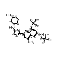 Nc1cc(-c2nnc(N[C@H]3CCC[C@@H](O)C3)o2)nc2c(OC(F)(F)F)cc(NCC(F)(F)F)cc12